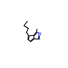 CCCCC1=CC=C2[C]=NC(C)=C21